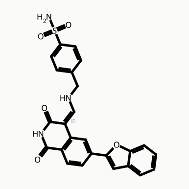 NS(=O)(=O)c1ccc(CN/C=C2\C(=O)NC(=O)c3ccc(-c4cc5ccccc5o4)cc32)cc1